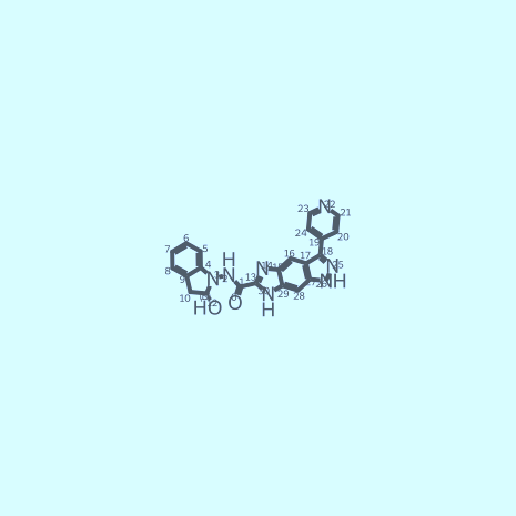 O=C(NN1c2ccccc2C[C@@H]1O)c1nc2cc3c(-c4ccncc4)n[nH]c3cc2[nH]1